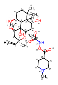 C=C[C@@]1(C)CC(=O)[C@]2(O)[C@@]3(C)[C@@H](O)CCC(C)(C)[C@@H]3[C@H](O)[C@H](OC(=O)NOC(=O)C3CCN(C)CC3)[C@@]2(C)O1